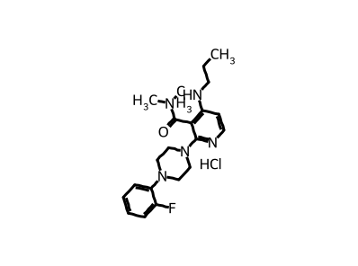 CCCNc1ccnc(N2CCN(c3ccccc3F)CC2)c1C(=O)N(C)C.Cl